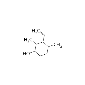 C=CC1C(C)CCC(O)C1C